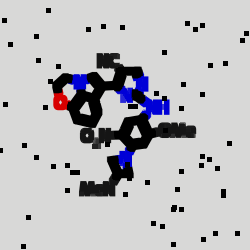 CNC1CN(c2cc(OC)c(Nc3ncc(C#N)c(-c4cn5c6c(cccc46)OCC5)n3)cc2[N+](=O)[O-])C1